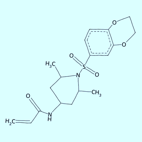 C=CC(=O)NC1CC(C)N(S(=O)(=O)c2ccc3c(c2)OCCO3)C(C)C1